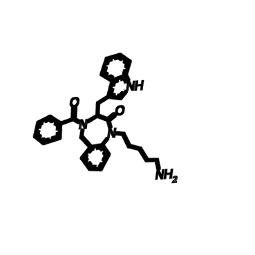 NCCCCCN1C(=O)C(Cc2c[nH]c3ccccc23)N(C(=O)c2ccccc2)Cc2ccccc21